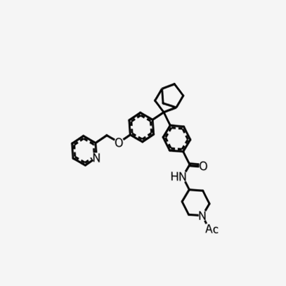 CC(=O)N1CCC(NC(=O)c2ccc(C3(c4ccc(OCc5ccccn5)cc4)CC4CCC3C4)cc2)CC1